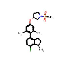 Cc1cc(O[C@@H]2CCN(S(C)(=O)=O)C2)cc(C)c1-c1ccc(F)c2c1CC[C@H]2C